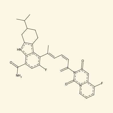 C=C(/C=C\C=C(/C)c1c(F)cc(C(N)=O)c2[nH]c3c(c12)CCC(C(C)C)C3)n1c(=O)cc2c(F)cccn2c1=O